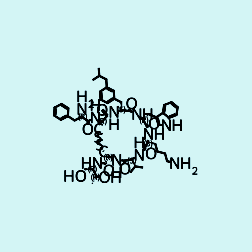 CC(C)Cc1cccc(C[C@@H]2NC(=O)[C@@H](NC(=O)[C@H](N)Cc3ccccc3)CSSC[C@@H](C(=O)N[C@H](CO)[C@@H](C)O)NC(=O)[C@H](C(C)C)NC(=O)[C@H](CCCCN)NC(=O)[C@@H](Cc3c[nH]c4ccccc34)NC2=O)c1